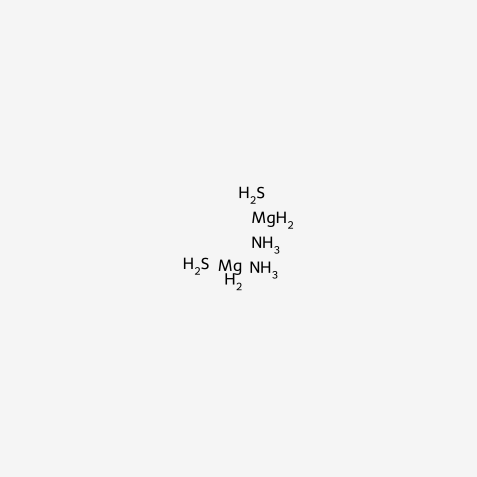 N.N.S.S.[MgH2].[MgH2]